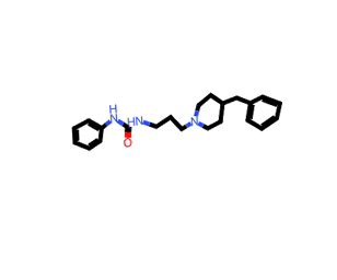 O=C(NCCCN1CCC(Cc2ccccc2)CC1)Nc1ccccc1